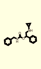 O=C(NCc1ccccc1)OC(CNC1CC1)c1ccccc1